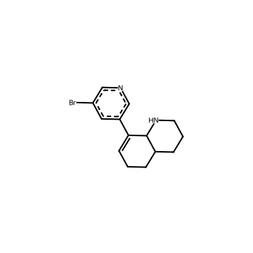 Brc1cncc(C2=CCCC3CCCNC23)c1